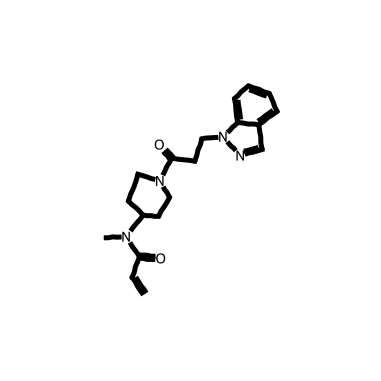 C=CC(=O)N(C)C1CCN(C(=O)CCn2ncc3ccccc32)CC1